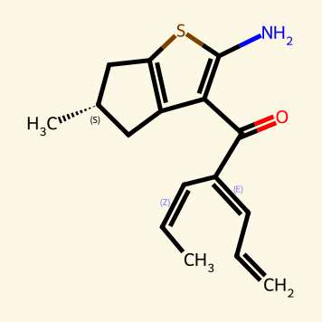 C=C/C=C(\C=C/C)C(=O)c1c(N)sc2c1C[C@H](C)C2